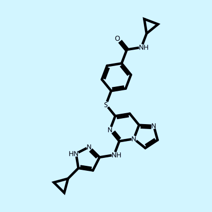 O=C(NC1CC1)c1ccc(Sc2cc3nccn3c(Nc3cc(C4CC4)[nH]n3)n2)cc1